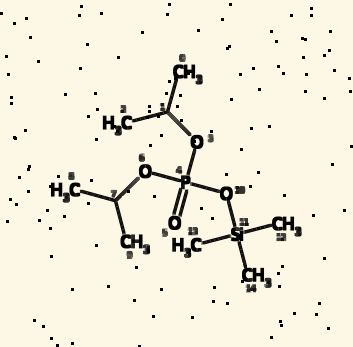 CC(C)OP(=O)(OC(C)C)O[Si](C)(C)C